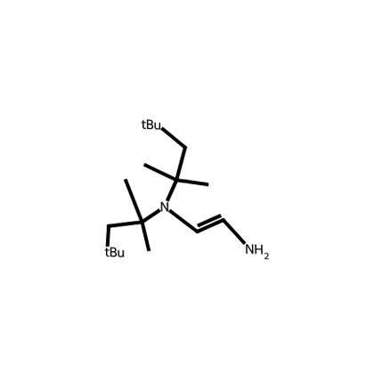 CC(C)(C)CC(C)(C)N(C=CN)C(C)(C)CC(C)(C)C